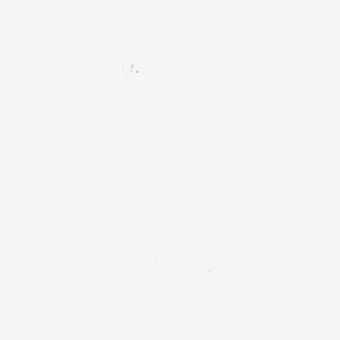 NC(I)Cc1cccc(C(=O)O)c1